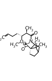 C=CCC[C@@H](OC)[C@@H](C)C(=O)N1C2CC3CC[C@]2(C3(C)C)S1(=O)=O